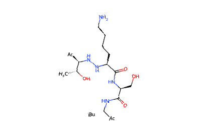 CC[C@H](C)C(NC(=O)[C@H](CO)NC(=O)[C@H](CCCCN)NN[C@H](C(C)=O)[C@@H](C)O)C(C)=O